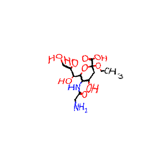 CCOC1(C(=O)O)CC(O)C(NC(=O)CN)C(C(O)C(O)CO)O1